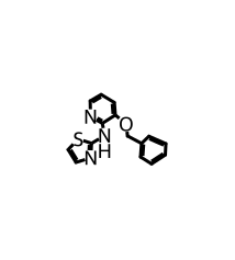 c1ccc(COc2cccnc2Nc2nccs2)cc1